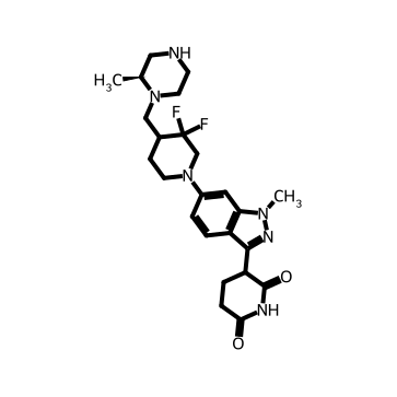 C[C@H]1CNCCN1CC1CCN(c2ccc3c(C4CCC(=O)NC4=O)nn(C)c3c2)CC1(F)F